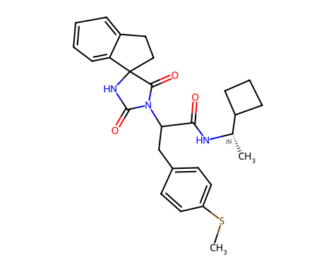 CSc1ccc(CC(C(=O)N[C@@H](C)C2CCC2)N2C(=O)NC3(CCc4ccccc43)C2=O)cc1